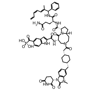 C=C/C=C\C=C(/C)C(NC(=O)[C@H](CCC(N)=O)NC(=O)[C@@H]1CC[C@@H]2CCN(C(=O)C[C@H]3CC[C@@H](Cc4ccc5c(c4)n(C)c(=O)n5[C@H]4CCC(=O)NC4=O)CC3)C[C@H](NC(=O)c3cc4cc(C(=O)P(=O)(O)O)ccc4[nH]3)C(=O)N21)c1ccccc1